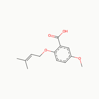 COc1ccc(OCC=C(C)C)c(C(=O)O)c1